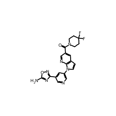 Nc1nc(-c2cncc(-n3ccc4cc(C(=O)N5CCC(F)(F)CC5)cnc43)c2)no1